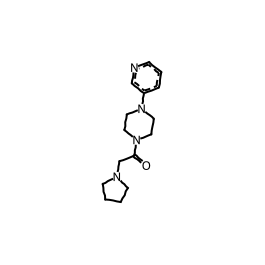 O=C(CN1CCCC1)N1CCN(c2cccnc2)CC1